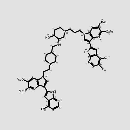 COc1cc2c(nc1OC)c(-c1cc3c(Cl)ccnc3[nH]1)cn2CCN1CCC(CNC2CN(CCCn3cc(-c4cc5c(Cl)c(F)cnc5[nH]4)c4nc(OC)c(OC)cc43)CCC2O)CC1